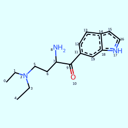 CCN(CC)CCC(N)C(=O)c1ccc2[c]c[nH]c2c1